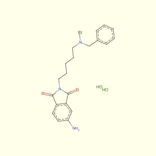 CCN(CCCCCN1C(=O)c2ccc(N)cc2C1=O)Cc1ccccc1.Cl.Cl